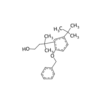 CC(C)(C)c1ccc(OCc2ccccc2)c(C(C)(C)CCO)c1